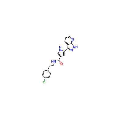 O=C(NCCc1ccc(Cl)cc1)c1c[nH]c(-c2n[nH]c3ncccc23)c1